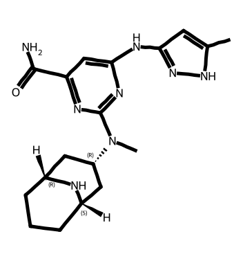 Cc1cc(Nc2cc(C(N)=O)nc(N(C)[C@H]3C[C@H]4CCC[C@@H](C3)N4)n2)n[nH]1